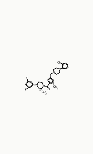 C[C@H]1CN(c2cc(F)cc(F)c2)CCN1C(=O)c1cc(CN2CCN(c3ccccc3Cl)CC2)cn1C